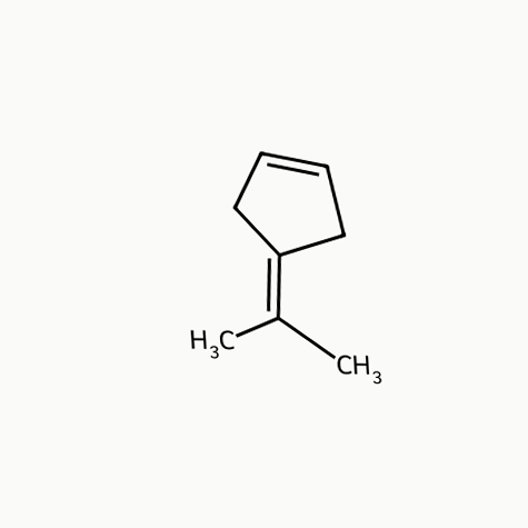 CC(C)=C1CC=CC1